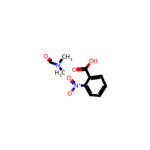 CN(C)C=O.O=C(O)c1ccccc1[N+](=O)[O-]